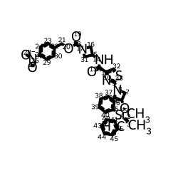 CC(C)(C)[Si](OC1CN(c2nc(C(=O)NC3CN(C(=O)OCc4ccc([N+](=O)[O-])cc4)C3)cs2)C1)(c1ccccc1)c1ccccc1